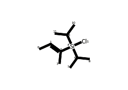 CC=C(C)[Si](Cl)(C(C)C)C(C)C